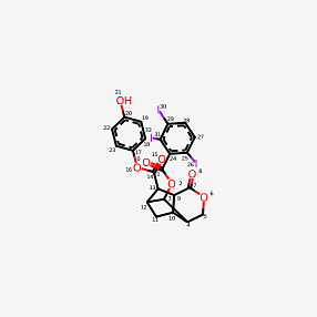 O=C(OC1C2COC(=O)C3C2CC1C3C(=O)Oc1ccc(O)cc1)c1c(I)ccc(I)c1I